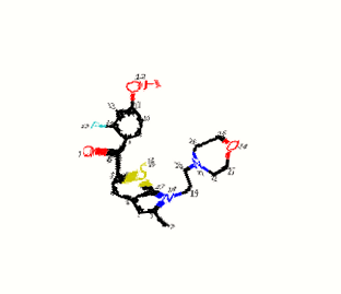 Cc1cc2cc(C(=O)c3ccc(O)cc3F)sc2n1CCN1CCOCC1